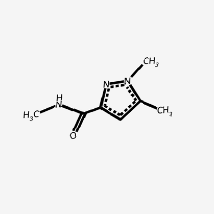 CNC(=O)c1cc(C)n(C)n1